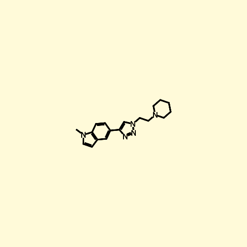 Cn1ccc2cc(-c3cn(CCN4CCCCC4)nn3)ccc21